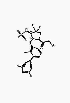 CC(C)(C)OC(=O)N1CC(F)(F)[C@H](NS(C)(=O)=O)[C@@H]1Cc1cccc(-c2cc(F)cc(F)c2)c1F